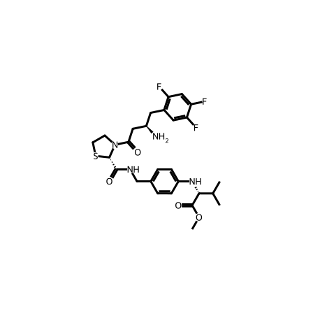 COC(=O)[C@H](Nc1ccc(CNC(=O)[C@@H]2SCCN2C(=O)C[C@H](N)Cc2cc(F)c(F)cc2F)cc1)C(C)C